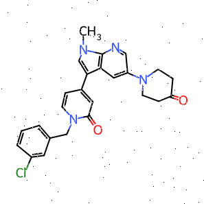 Cn1cc(-c2ccn(Cc3cccc(Cl)c3)c(=O)c2)c2cc(N3CCC(=O)CC3)cnc21